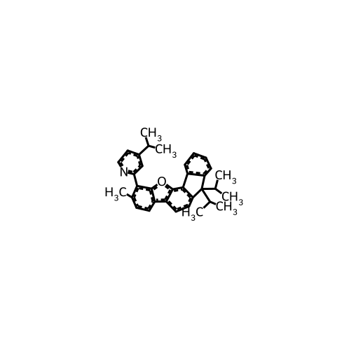 Cc1ccc2c(oc3c4c(ccc32)C(C(C)C)(C(C)C)c2ccccc2-4)c1-c1cc(C(C)C)ccn1